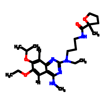 [2H]c1c(OC(C)C)c(OCC)c([2H])c2c(NC)nc(N(CC)CCCNC(=O)C3(C)CCCO3)nc12